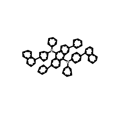 c1ccc(-c2ccc3c(N(c4ccccc4)c4ccc(-c5cccc6ccccc56)cc4)c4cc(-c5ccccc5)ccc4c(N(c4ccccc4)c4ccc(-c5cccc6ccccc56)cc4)c3c2)cc1